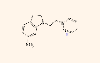 C=CN(CCN1CCc2ccc([N+](=O)[O-])cc21)/N=C\C